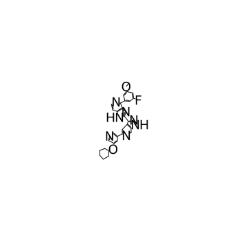 COc1cc(F)cc(-c2nccc3[nH]c(-c4n[nH]c5cnc(-c6cncc(OC7CCCCC7)c6)cc45)nc23)c1